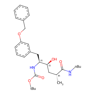 CCCCNC(=O)[C@H](C)C[C@H](O)[C@H](Cc1cccc(OCc2ccccc2)c1)NC(=O)OC(C)(C)C